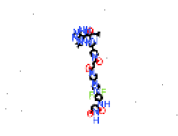 CC(C)(C)n1nc(-c2noc(C3CC3)c2-c2ncc(C3CCN(C(=O)CCC(=O)N4CCC(N5CCN(c6c(F)cc(N[C@H]7CCC(=O)NC7=O)cc6F)CC5)CC4)CC3)cn2)c2c(N)ncnc21